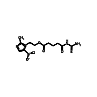 Cc1ncc([N+](=O)[O-])n1CCOC(=O)CCCC(=O)NC(N)=S